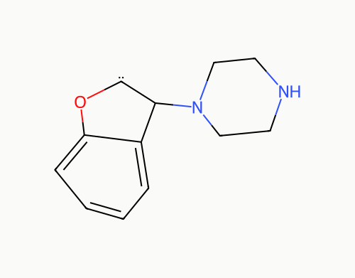 [C]1Oc2ccccc2C1N1CCNCC1